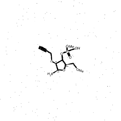 B[C@@H]1O[C@H](COC)C(OP(=O)(O)OC)[C@@H]1OCC#C